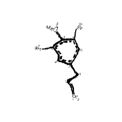 C=CCc1cc(C(C)C)c(OC)c(C(C)C)c1